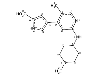 Cc1cnc(NC2CCN(C)CC2)cc1-c1c[nH]c(C(=O)O)c1